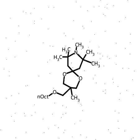 CCCCCCCCOCC1(C)COC2(CC(C)(C)N(C)C(C)(C)C2)OC1